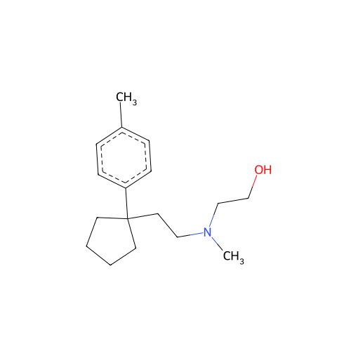 Cc1ccc(C2(CCN(C)CCO)CCCC2)cc1